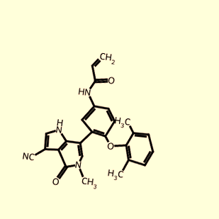 C=CC(=O)Nc1ccc(Oc2c(C)cccc2C)c(-c2cn(C)c(=O)c3c(C#N)c[nH]c23)c1